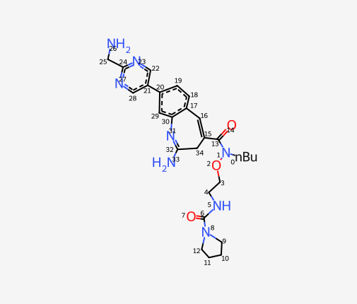 CCCCN(OCCNC(=O)N1CCCC1)C(=O)C1=Cc2ccc(-c3cnc(CN)nc3)cc2N=C(N)C1